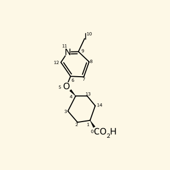 O=C(O)[C@H]1CC[C@@H](Oc2ccc(I)nc2)CC1